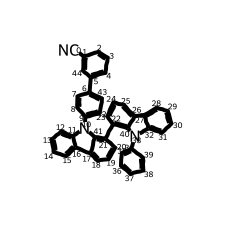 N#Cc1cccc(-c2ccc(-n3c4ccccc4c4cccc(-c5cccc6c7ccccc7n(-c7ccccc7)c56)c43)cc2)c1